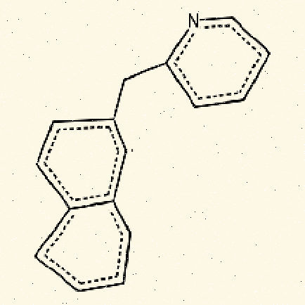 [c]1c(Cc2ccccn2)ccc2ccccc12